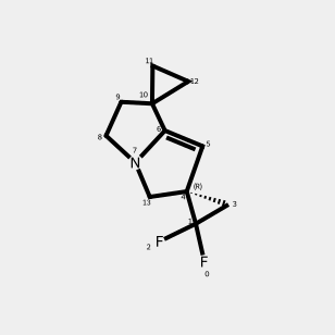 FC1(F)C[C@]12C=C1N(CCC13CC3)C2